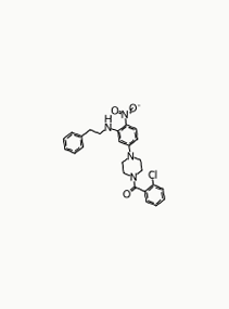 O=C(c1ccccc1Cl)N1CCN(c2ccc([N+](=O)[O-])c(NCCc3ccccc3)c2)CC1